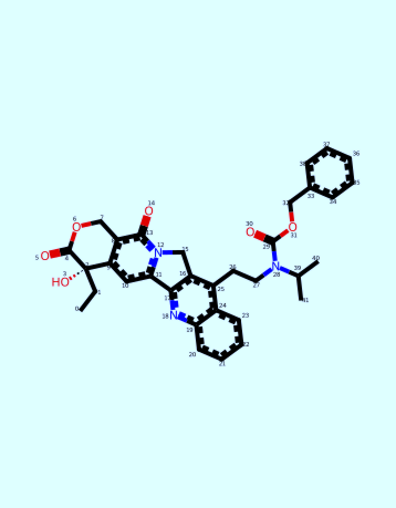 CC[C@@]1(O)C(=O)OCc2c1cc1n(c2=O)Cc2c-1nc1ccccc1c2CCN(C(=O)OCc1ccccc1)C(C)C